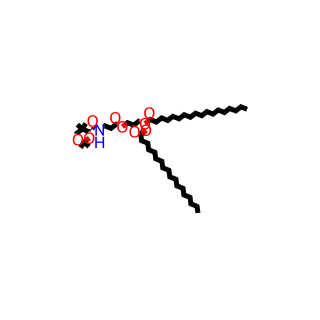 CCCCCCCCCCCCCCCCCC(=O)OCC(COC(=O)CCNC(=O)[C@@H]1OC(C)(C)OCC1(C)C)OC(=O)CCCCCCCCCCCCCCCCC